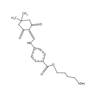 CCCCCCCCCCCCCCOC(=O)c1ccc(NC=C2C(=O)CC(C)(C)CC2=O)cc1